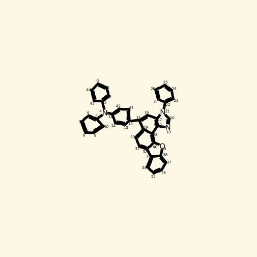 c1ccc(N(c2ccccc2)c2ccc(-c3cc4c(ncn4-c4ccccc4)c4c3ccc3c5ccccc5oc34)cc2)cc1